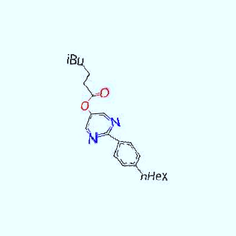 CCCCCCc1ccc(-c2ncc(OC(=O)CCC(C)CC)cn2)cc1